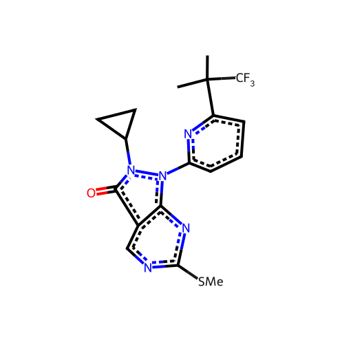 CSc1ncc2c(=O)n(C3CC3)n(-c3cccc(C(C)(C)C(F)(F)F)n3)c2n1